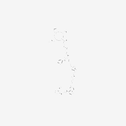 N#C[C@@H]1CCCN1C(=O)CNC(=O)c1ccnc2ccc(OCCCNC(=O)CCc3cn(CCCCC(NC(=O)c4ccc(F)nc4)C(=O)NCCNC(=O)CCC(C(=O)O)N4CCN(CC(=O)O)CCN(CC(=O)O)CCN(CC(=O)O)CC4)nn3)cc12